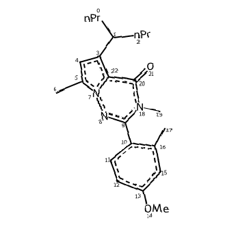 CCCC(CCC)c1cc(C)n2nc(-c3ccc(OC)cc3C)n(C)c(=O)c12